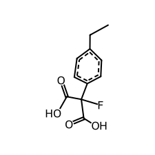 CCc1ccc(C(F)(C(=O)O)C(=O)O)cc1